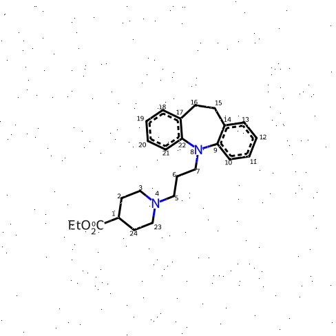 CCOC(=O)C1CCN(CCCN2c3ccccc3CCc3ccccc32)CC1